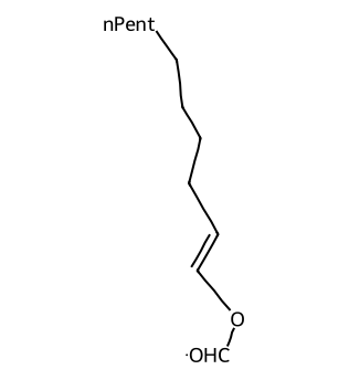 CCCCCCCCCC=CO[C]=O